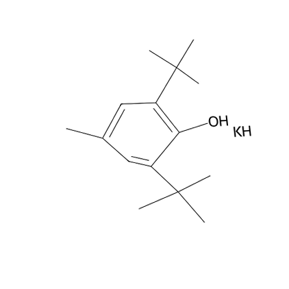 Cc1cc(C(C)(C)C)c(O)c(C(C)(C)C)c1.[KH]